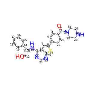 O=C(c1ccc(-c2cc3c(N[C@H](CO)c4ccccc4)ncnc3s2)cc1)N1CCNCC1